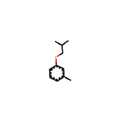 [CH2]c1cccc(OCC(C)C)c1